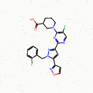 O=C(O)C1CCCN(c2nc(-c3cc(-c4ccon4)n(Cc4ccccc4F)n3)ncc2F)C1